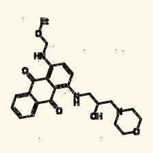 CCOCNc1ccc(NCC(O)CN2CCOCC2)c2c1C(=O)c1ccccc1C2=O